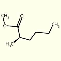 CCCC[C@@H](C)C(=O)OC